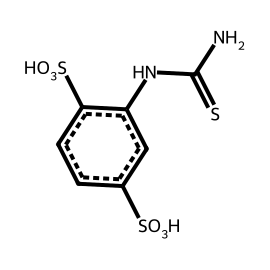 NC(=S)Nc1cc(S(=O)(=O)O)ccc1S(=O)(=O)O